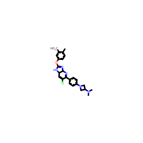 Cc1ccc(OC2=NC3N=C(c4ccc(N5CC(N(C)C)C5)cc4)C(Cl)=CC3N2)cc1C(=O)O